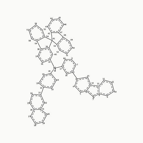 c1cc(-c2ccc3sc4ccccc4c3c2)cc(N(c2ccc(-c3ccc4ccccc4c3)cc2)c2ccc3c(c2)C2(c4ccccc4-c4ccccc42)c2ccccc2-3)c1